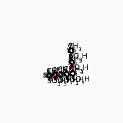 Cc1ccc(S(=O)(=O)O)cc1.Cc1ccc(S(=O)(=O)O)cc1.Cc1ccc(S(=O)(=O)O)cc1.Cc1ccc(S(=O)(=O)O)cc1.Cc1ccc(S(=O)(=O)O)cc1.Cc1ccc(S(=O)(=O)O)cc1.Cc1ccc(S(=O)(=O)O)cc1.[NaH]